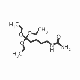 CCOC(CCCCNC(N)=O)(OCC)OCC